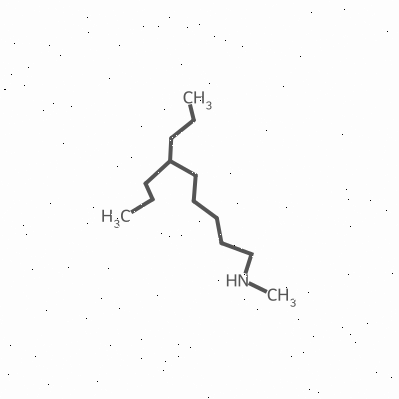 CCCC(CCC)CCCCCNC